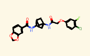 O=C(COc1ccc(Cl)c(F)c1)NC12CC(C1)C(NC(=O)c1ccc3c(c1)OCO3)C2